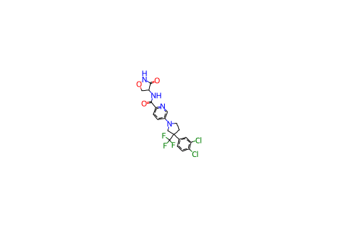 O=C(NC1CONC1=O)c1ccc(N2CCC(c3ccc(Cl)c(Cl)c3)(C(F)(F)F)C2)cn1